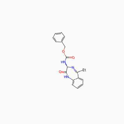 CCC1=N[C@H](NC(=O)OCc2ccccc2)C(=O)Nc2ccccc21